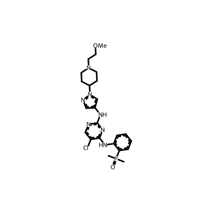 COCCN1CCC(n2cc(Nc3ncc(Cl)c(Nc4ccccc4P(C)(C)=O)n3)cn2)CC1